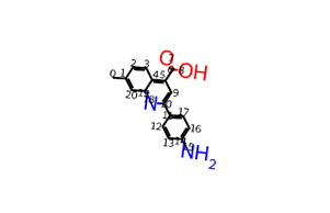 Cc1ccc2c(C(=O)O)cc(-c3ccc(N)cc3)nc2c1